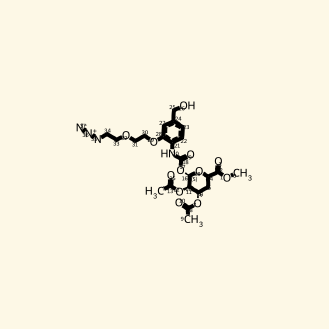 COC(=O)C1C[C@H](OC(C)=O)[C@@H](OC(C)=O)[C@H](OC(=O)Nc2ccc(CO)cc2OCCOCCN=[N+]=[N-])O1